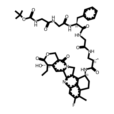 CC[C@@]1(O)C(=O)OCc2c1cc1n(c2=O)Cc2c-1nc1cc(F)c(C)c3c1c2[C@@H](NC(=O)[C@@H](C)CNC(=O)CNC(=O)[C@H](Cc1ccccc1)NC(=O)CNC(=O)CNC(=O)OC(C)(C)C)CC3